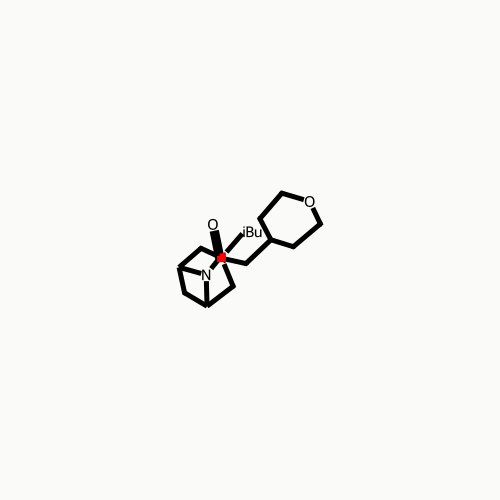 CCC(C)N1CC2CC(C1)N2C(=O)CC1CCOCC1